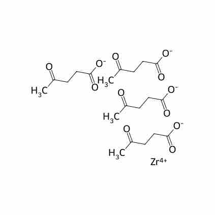 CC(=O)CCC(=O)[O-].CC(=O)CCC(=O)[O-].CC(=O)CCC(=O)[O-].CC(=O)CCC(=O)[O-].[Zr+4]